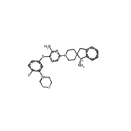 Nc1nc(N2CCC3(CC2)Cc2ccccc2[C@H]3N)cnc1Sc1ccc(F)c(N2CCOCC2)c1